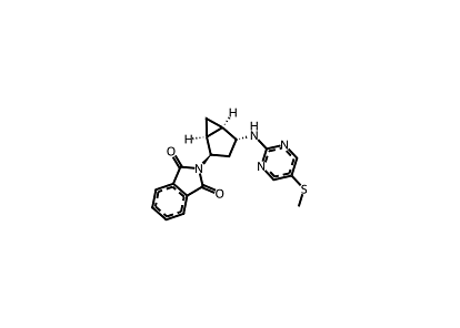 CSc1cnc(N[C@@H]2C[C@@H](N3C(=O)c4ccccc4C3=O)[C@H]3C[C@H]32)nc1